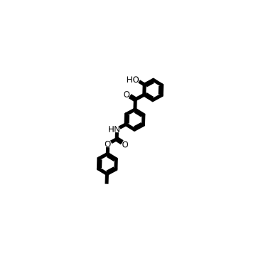 Cc1ccc(OC(=O)Nc2cccc(C(=O)c3ccccc3O)c2)cc1